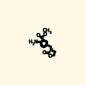 COC(=O)c1cc(CN2CCOC2=O)ccc1N